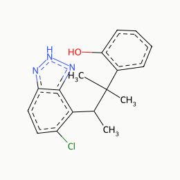 CC(c1c(Cl)ccc2n[nH]nc12)C(C)(C)c1ccccc1O